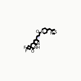 O=C(/C=C/c1cnc2c(c1)CC1(CC(F)(F)C1)C(=O)N2)N1CCC(=Cc2cscn2)CC1